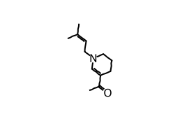 CC(=O)C1=CN(CC=C(C)C)CCC1